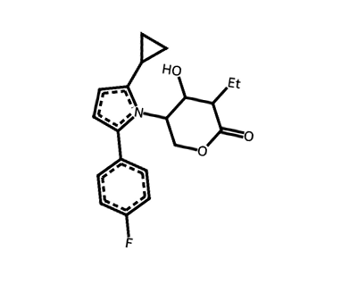 CCC1C(=O)OCC(n2c(-c3ccc(F)cc3)ccc2C2CC2)C1O